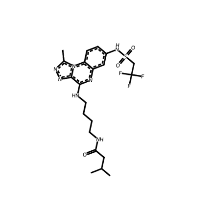 Cc1nnc2c(NCCCCNC(=O)CC(C)C)nc3cc(NS(=O)(=O)CC(F)(F)F)ccc3n12